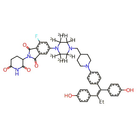 [2H]C1([2H])N(CC2CCN(c3ccc(C(=C(CC)c4ccc(O)cc4)c4ccc(O)cc4)cc3)CC2)C([2H])([2H])C([2H])([2H])N(c2cc(F)c3c(c2)C(=O)N(C2CCC(=O)NC2=O)C3=O)C1([2H])[2H]